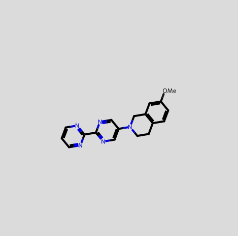 COc1ccc2c(c1)CN(c1cnc(-c3ncccn3)nc1)CC2